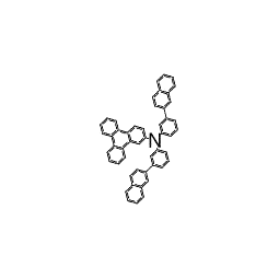 c1cc(-c2ccc3ccccc3c2)cc(N(c2cccc(-c3ccc4ccccc4c3)c2)c2ccc3c4ccccc4c4ccccc4c3c2)c1